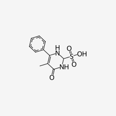 CC1=C(c2ccccc2)NC(S(=O)(=O)O)NC1=O